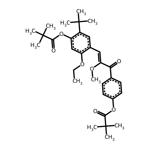 CCOc1cc(OC(=O)C(C)(C)C)c(C(C)(C)C)cc1C=C(OC)C(=O)c1ccc(OC(=O)C(C)(C)C)cc1